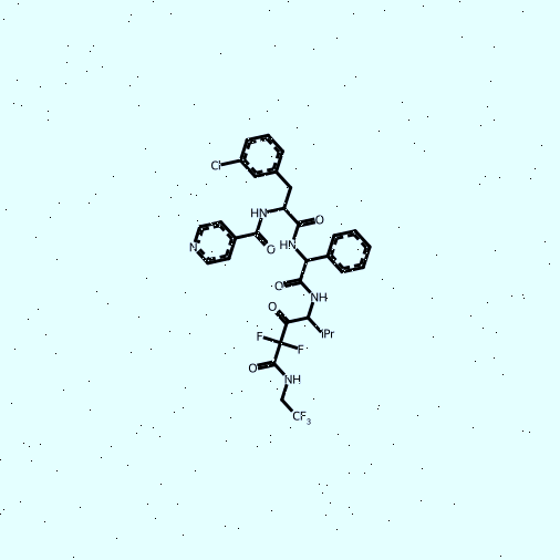 CC(C)C(NC(=O)C(NC(=O)C(Cc1cccc(Cl)c1)NC(=O)c1ccncc1)c1ccccc1)C(=O)C(F)(F)C(=O)NCC(F)(F)F